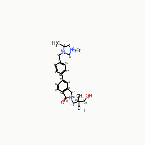 CCN1CC(C)N(Cc2ccc(-c3ccc4c(c3)CN(CC(C)(C)CO)C4=O)cc2)C1